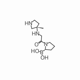 C[C@]1(NCC(=O)N2CCC[C@H]2B(O)O)CCNC1